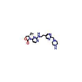 CC(C)[C@H]1COC(=O)N1c1ccnc(NCCc2cnc(CN3CCNCC3)nc2)n1